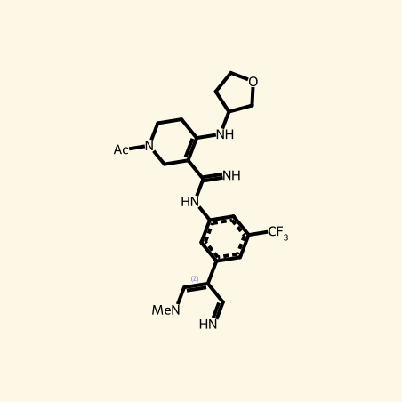 CN/C=C(\C=N)c1cc(NC(=N)C2=C(NC3CCOC3)CCN(C(C)=O)C2)cc(C(F)(F)F)c1